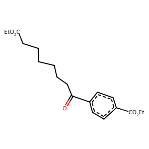 CCOC(=O)CCCCCCC(=O)c1ccc(C(=O)OCC)cc1